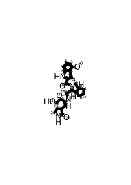 COc1cccc2[nH]c(C(=O)N3C[C@H]4CCC[C@H]4C3C(=O)NC(CC3CCNC3=O)C(=O)CO)cc12